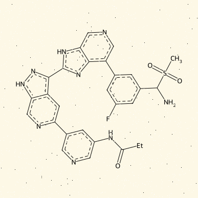 CCC(=O)Nc1cncc(-c2cc3c(-c4nc5c(-c6cc(F)cc(C(N)S(C)(=O)=O)c6)cncc5[nH]4)n[nH]c3cn2)c1